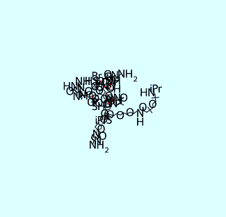 Cc1cn([C@H]2CC(OP(=S)(OCCOCCOCCNC(=O)CC(C)(C)COCC(C)(C)CNC(C)C)OC[C@H]3O[C@@H](n4ccc(N)nc4=O)CC3C(C)C)[C@@H](COP(=O)(S)OC3C[C@H](n4cnc5c(=O)[nH]c(N)nc54)O[C@@H]3COP(=O)(S)OC3C[C@H](n4ccc(N)nc4=O)O[C@@H]3COP(=O)(S)OC3C[C@H](n4cc(Br)c(=O)[nH]c4=O)O[C@@H]3CO)O2)c(=O)[nH]c1=O